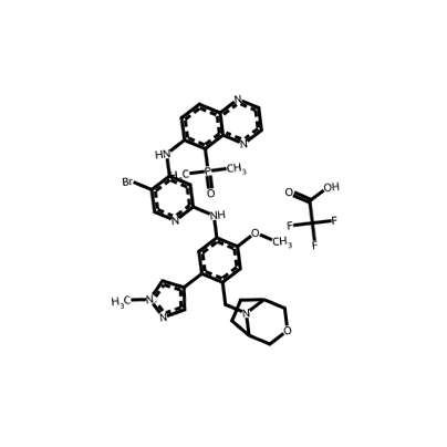 COc1cc(CN2C3CCC2COC3)c(-c2cnn(C)c2)cc1Nc1cc(Nc2ccc3nccnc3c2P(C)(C)=O)c(Br)cn1.O=C(O)C(F)(F)F